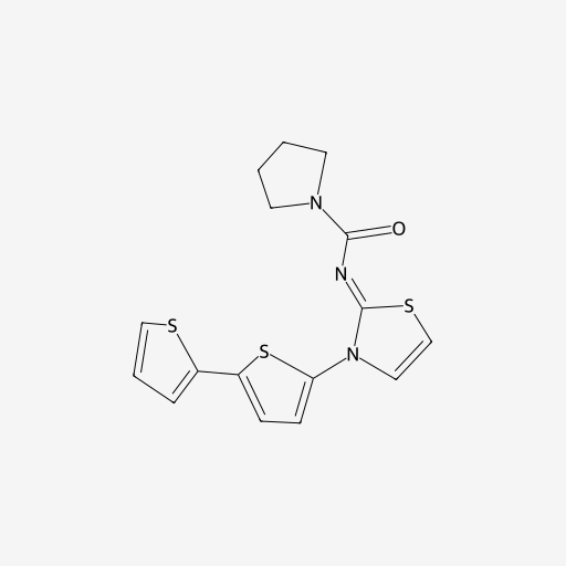 O=C(/N=c1\sccn1-c1ccc(-c2cccs2)s1)N1CCCC1